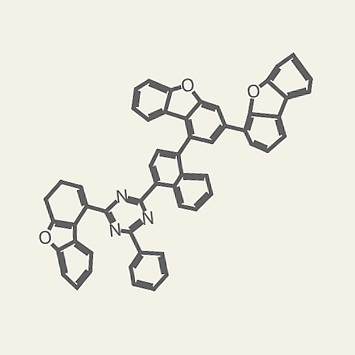 C1=C(c2nc(-c3ccccc3)nc(-c3ccc(-c4cc(-c5cccc6c5oc5ccccc56)cc5oc6ccccc6c45)c4ccccc34)n2)c2c(oc3ccccc23)CC1